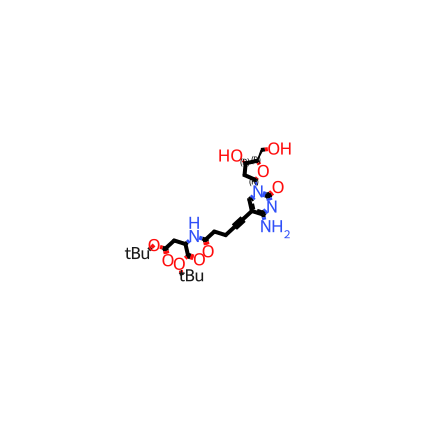 CC(C)(C)OC(=O)CC(NC(=O)CCC#Cc1cn([C@H]2C[C@@H](O)[C@@H](CO)O2)c(=O)nc1N)C(=O)OC(C)(C)C